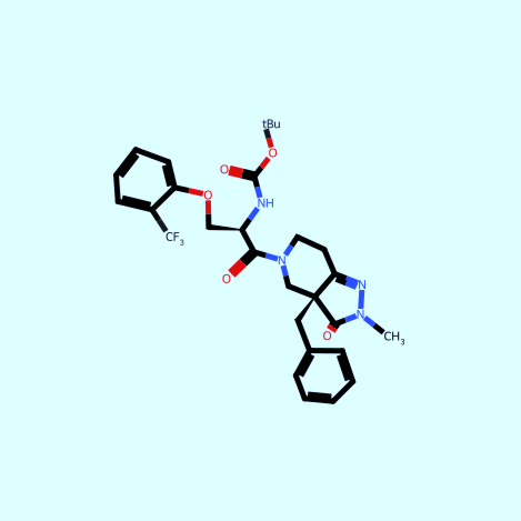 CN1N=C2CCN(C(=O)[C@@H](COc3ccccc3C(F)(F)F)NC(=O)OC(C)(C)C)C[C@@]2(Cc2ccccc2)C1=O